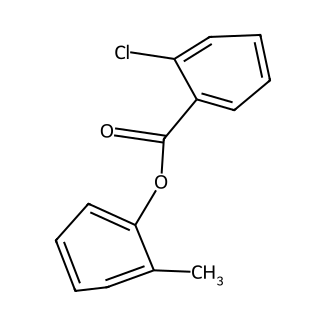 Cc1ccccc1OC(=O)c1ccccc1Cl